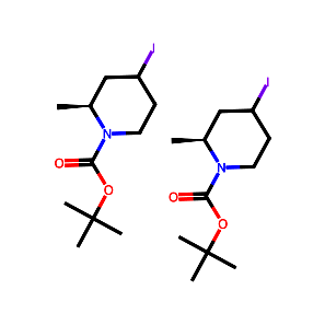 C[C@H]1CC(I)CCN1C(=O)OC(C)(C)C.C[C@H]1CC(I)CCN1C(=O)OC(C)(C)C